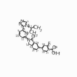 CC(C)n1cnnc1-c1cccc(N2Cc3ccc(-c4ccc(C(=O)O)c(F)c4)cc3C2=O)n1